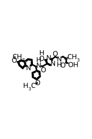 COc1ccc(C(NC(=O)c2cnc(C(=O)NC[C@@H](C)C(=O)O)nc2O)c2ccc3cc(OC)ccc3n2)cc1